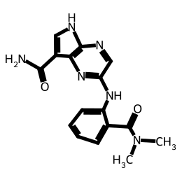 CN(C)C(=O)c1ccccc1Nc1cnc2[nH]cc(C(N)=O)c2n1